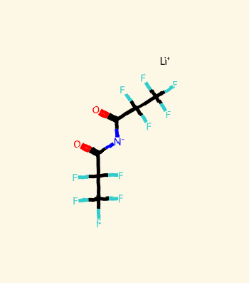 O=C([N-]C(=O)C(F)(F)C(F)(F)F)C(F)(F)C(F)(F)F.[Li+]